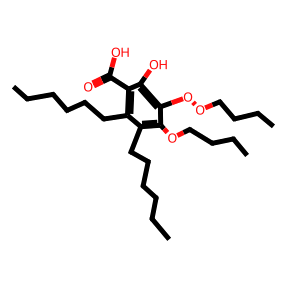 CCCCCCc1c(CCCCCC)c(C(=O)O)c(O)c(OOCCCC)c1OCCCC